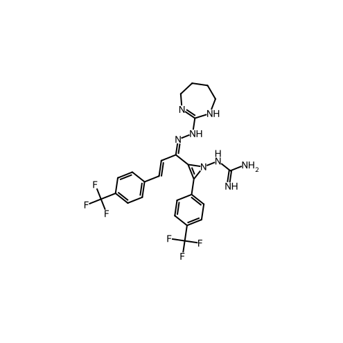 N=C(N)NN1C(C(C=Cc2ccc(C(F)(F)F)cc2)=NNC2=NCCCCN2)=C1c1ccc(C(F)(F)F)cc1